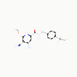 CCOc1nc(C(=O)NCc2ccc(C(F)(F)CF)cc2)cc(N)c1C#N